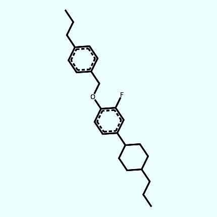 CCCc1ccc(COc2ccc(C3CCC(CCC)CC3)cc2F)cc1